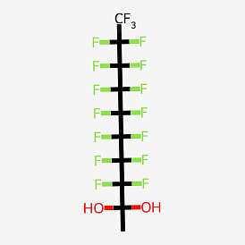 CC(O)(O)C(F)(F)C(F)(F)C(F)(F)C(F)(F)C(F)(F)C(F)(F)C(F)(F)C(F)(F)F